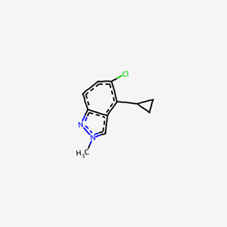 Cn1cc2c([C]3CC3)c(Cl)ccc2n1